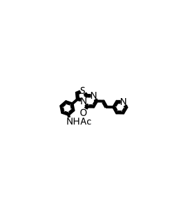 CC(=O)Nc1cccc(-c2csc3nc(/C=C/c4cccnc4)cc(=O)n23)c1